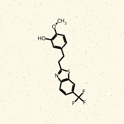 COc1ccc(CCc2nc3ccc(C(F)(F)F)cc3s2)cc1O